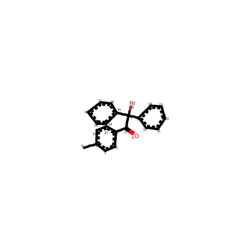 Cc1ccc(C(=O)C(Br)(c2ccccc2)c2ccccc2)cc1